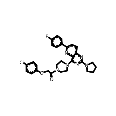 O=C(COc1ccc(Cl)cc1)N1CCN(c2nc(N3CCCC3)nc3ccc(-c4ccc(F)cc4)nc23)CC1